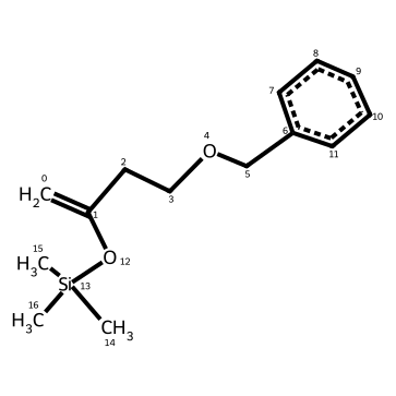 C=C(CCOCc1ccccc1)O[Si](C)(C)C